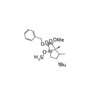 COC(=O)[C@]1(C)C(C)[C@H](C(C)(C)C)C[N+]1(O[SiH3])C(=O)OCc1ccccc1